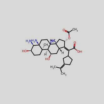 CC(=O)O[C@H]1C[C@@]2(C)[C@@H](C[C@@H](O)[C@@H]3[C@]2(N)CC[C@@]2(N)[C@H](N)[C@H](O)CC[C@]32C)/C1=C(/C(=O)O)C1CCC(=C(C)C)C1